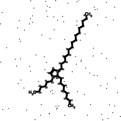 CCCCCCCCCCCCCCCCN1C=CN(CCCCCC)C1CCCCCCCC